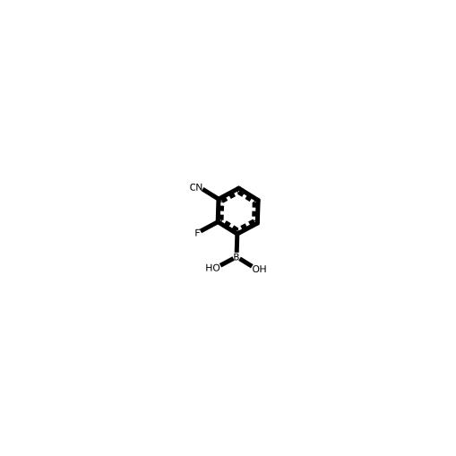 [C-]#[N+]c1cccc(B(O)O)c1F